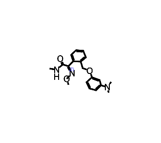 CNC(=O)/C(=N\OC)c1ccccc1COc1cccc(N(C)C)c1